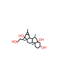 CC1C2C3C4C(CC[C@]3(C)[C@](O)(CCCO)C12)[C@@]1(C)CC[C@H](O)C[C@@]1(O)C[C@@H]4C